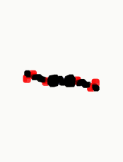 CC(=O)OCCCCOc1ccc(/C=C/c2ccc(OCCCCOC(C)=O)cc2)cc1